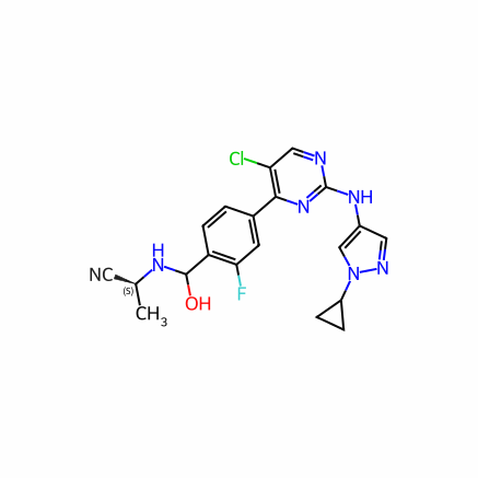 C[C@@H](C#N)NC(O)c1ccc(-c2nc(Nc3cnn(C4CC4)c3)ncc2Cl)cc1F